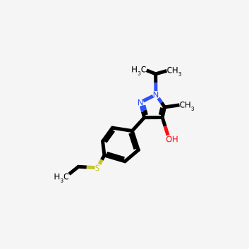 CCSc1ccc(-c2nn(C(C)C)c(C)c2O)cc1